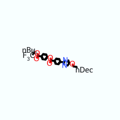 CCCCCCCCCCCCOc1cnc(-c2ccc(C(=O)Oc3ccc(C(=O)O[C@@H](CCCC)C(F)(F)F)cc3)cc2)nc1